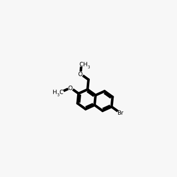 COCc1c(OC)ccc2cc(Br)ccc12